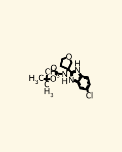 CC(C)(C)OC(=O)NC1(c2nc3cc(Cl)ccc3[nH]2)CCOC1